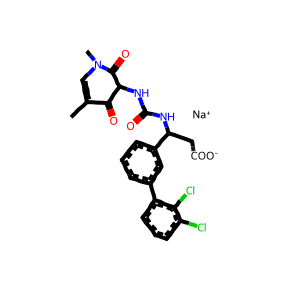 CC1=CN(C)C(=O)C(NC(=O)NC(CC(=O)[O-])c2cccc(-c3cccc(Cl)c3Cl)c2)C1=O.[Na+]